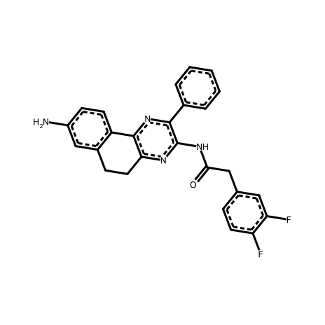 Nc1ccc2c(c1)CCc1nc(NC(=O)Cc3ccc(F)c(F)c3)c(-c3ccccc3)nc1-2